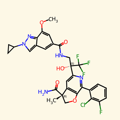 COc1cc(C(=O)NC[C@](O)(c2cc3c(c(-c4cccc(F)c4Cl)n2)OC[C@]3(C)C(N)=O)C(F)(F)F)cc2cn(C3CC3)nc12